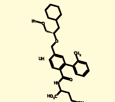 CSCCC(NC(=O)c1ccc(CO[C@H](COC(C)C)CC2CCCCC2)cc1-c1ccccc1C)C(=O)O.[LiH]